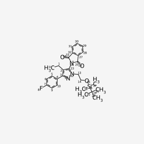 CCc1c(-c2ccc(F)cc2)nn(CCO[Si](C)(C)C(C)(C)C)c1N1C(=O)c2ccccc2C1=O